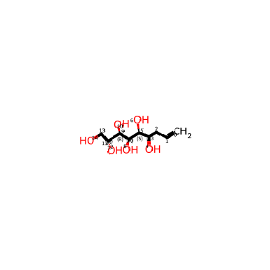 C=CCC(O)[C@H](O)[C@@H](O)[C@H](O)[C@H](O)CO